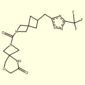 O=C1COCC2(CN(C(=O)N3CC4(CC(Cc5nc(C(F)(F)F)ns5)C4)C3)C2)N1